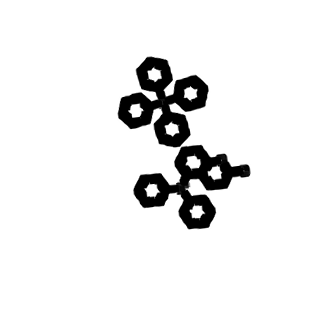 O=c1ccc2c([S+](c3ccccc3)c3ccccc3)cccc2o1.c1ccc([B-](c2ccccc2)(c2ccccc2)c2ccccc2)cc1